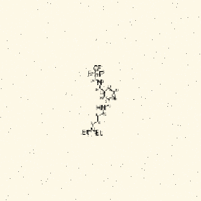 CCN(CC)CCCCNCc1cc(C=NCC(F)(F)C(F)(F)F)ccn1